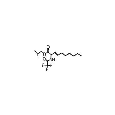 CCCCCC/C=C/C(NC(=O)C(F)(F)F)C(=O)OCC(C)C